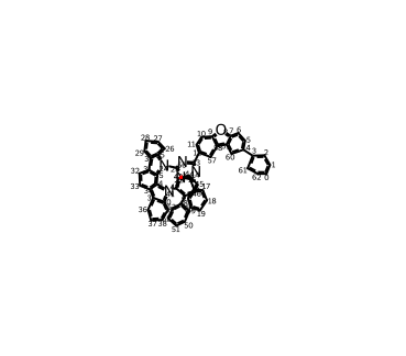 c1ccc(-c2ccc3oc4ccc(-c5nc(-c6ccccc6)nc(-n6c7ccccc7c7ccc8c9ccccc9n(-c9ccccc9-c9ccccc9)c8c76)n5)cc4c3c2)cc1